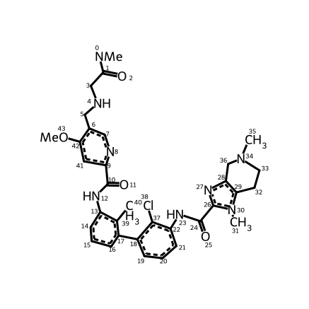 CNC(=O)CNCc1cnc(C(=O)Nc2cccc(-c3cccc(NC(=O)c4nc5c(n4C)CCN(C)C5)c3Cl)c2C)cc1OC